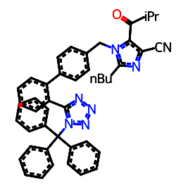 CCCCc1nc(C#N)c(C(=O)C(C)C)n1Cc1ccc(-c2ccccc2-c2nnnn2C(c2ccccc2)(c2ccccc2)c2ccccc2)cc1